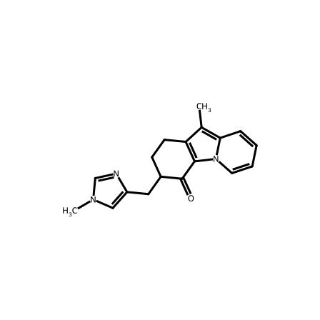 Cc1c2c(n3ccccc13)C(=O)C(Cc1cn(C)cn1)CC2